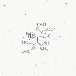 CC1=C(C(OC=O)C(=O)[O-])C(C)C(C(OC=O)C(=O)[O-])=C(C)N1.[Na+].[Na+]